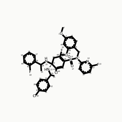 COc1ccc(CN(c2cccc(F)n2)S(=O)(=O)C2=C(F)C[C@](NC(C)c3ccc(Cl)cc3)(NC(C)c3ccccc3F)C(Cl)=C2)c(OC)c1